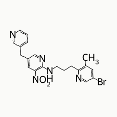 Cc1cc(Br)cnc1CCCNc1ncc(Cc2cccnc2)cc1[N+](=O)[O-]